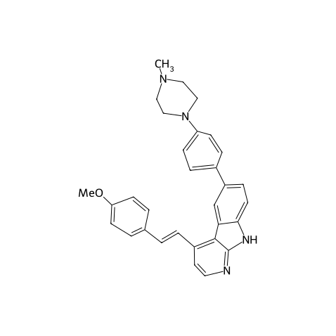 COc1ccc(/C=C/c2ccnc3[nH]c4ccc(-c5ccc(N6CCN(C)CC6)cc5)cc4c23)cc1